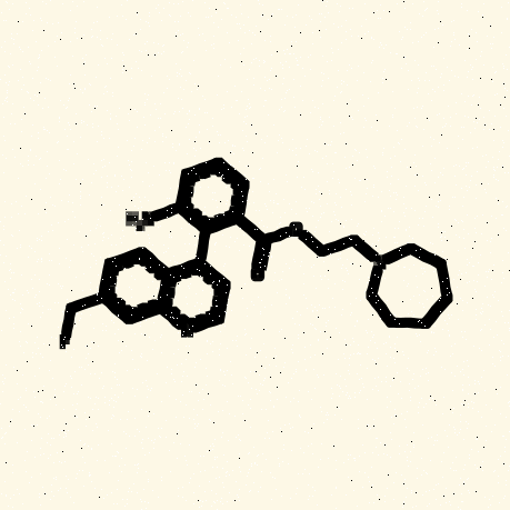 Nc1cccc(C(=O)OCCN2CCCCCC2)c1-c1ccnc2cc(CF)ccc12